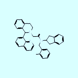 O=C(CN1CCc2ccccc2C1c1cccc2cccnc12)N(Cc1ccccc1F)C1Cc2ccccc2C1